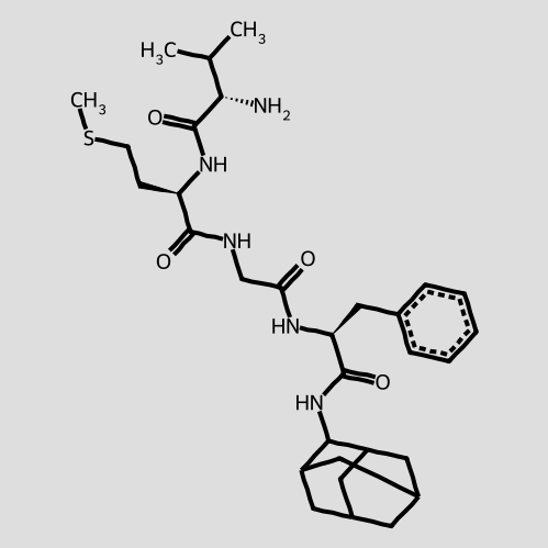 CSCC[C@@H](NC(=O)[C@@H](N)C(C)C)C(=O)NCC(=O)N[C@@H](Cc1ccccc1)C(=O)NC1C2CC3CC(C2)CC1C3